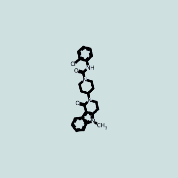 Cn1c2c(c3ccccc31)C(=O)N(C1CCN(C(=O)Nc3ccccc3Cl)CC1)CC2